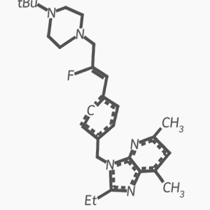 CCc1nc2c(C)cc(C)nc2n1Cc1ccc(/C=C(\F)CN2CCN(C(C)(C)C)CC2)cc1